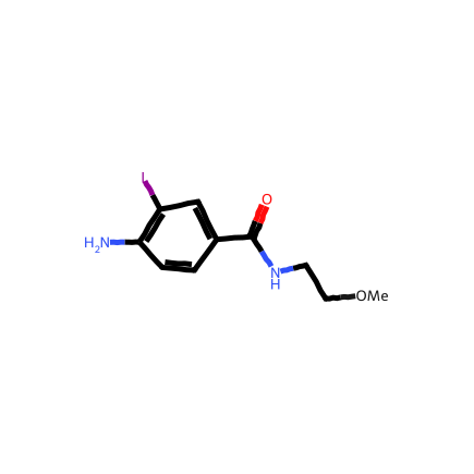 COCCNC(=O)c1ccc(N)c(I)c1